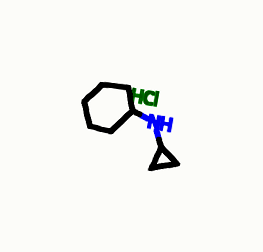 C1CCC(NC2CC2)CC1.Cl